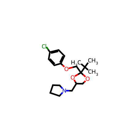 CC(C)(C)C1(COc2ccc(Cl)cc2)OCC(CN2CCCC2)O1